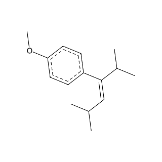 COc1ccc(/C(=C\C(C)C)C(C)C)cc1